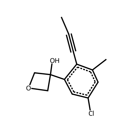 CC#Cc1c(C)cc(Cl)cc1C1(O)COC1